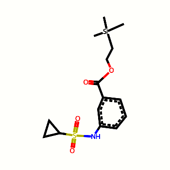 C[Si](C)(C)CCOC(=O)c1cccc(NS(=O)(=O)C2CC2)c1